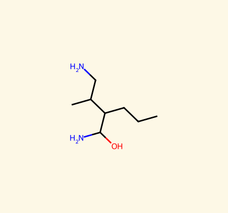 CCCC(C(N)O)C(C)CN